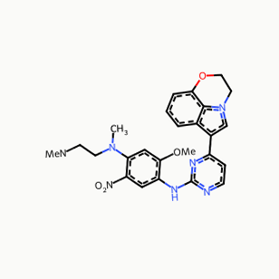 CNCCN(C)c1cc(OC)c(Nc2nccc(-c3cn4c5c(cccc35)OCC4)n2)cc1[N+](=O)[O-]